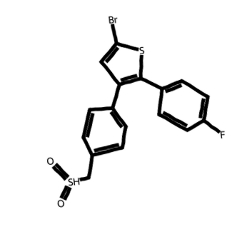 O=[SH](=O)Cc1ccc(-c2cc(Br)sc2-c2ccc(F)cc2)cc1